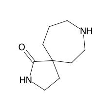 O=C1NCCC12CCCNCC2